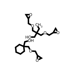 CCC(CO)(COCC1CO1)COCC1CO1.OCC1(COCC2CO2)CCCCC1